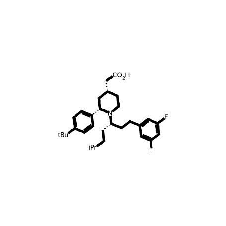 CC(C)CC[C@@H](CCc1cc(F)cc(F)c1)N1CC[C@@H](CC(=O)O)C[C@H]1c1ccc(C(C)(C)C)cc1